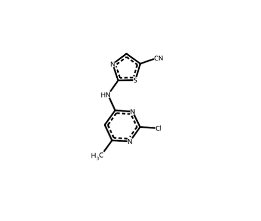 Cc1cc(Nc2ncc(C#N)s2)nc(Cl)n1